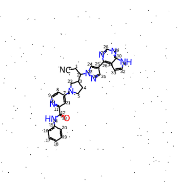 N#CCC(C1CCN(c2ccnc(C(=O)Nc3ccccc3)c2)C1)n1cc(-c2ncnc3[nH]ccc23)cn1